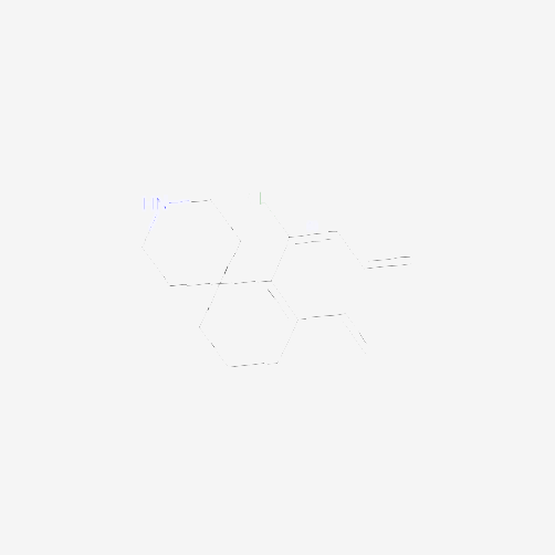 C=C/C=C(/Cl)C1=C(C=C)CCCC12CCNCC2